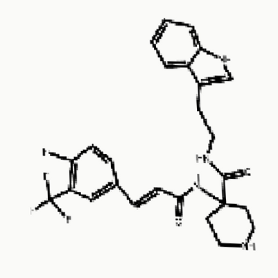 O=C(C=Cc1ccc(F)c(C(F)(F)F)c1)NC1(C(=O)NCCc2c[nH]c3ccccc23)CCNCC1